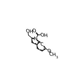 COc1ccc2cc(CO)n(C(=O)O)c2c1